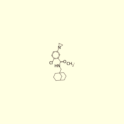 O=C(NCC12CCCC(CCC1)C2)c1cc(N2CC2)ccc1Cl.[CH2]